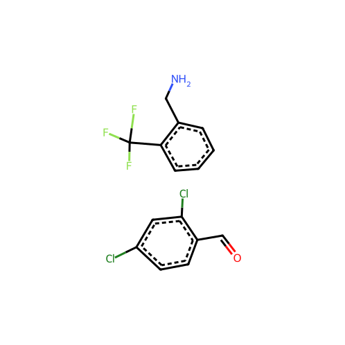 NCc1ccccc1C(F)(F)F.O=Cc1ccc(Cl)cc1Cl